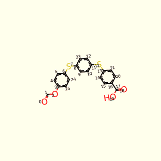 O=COc1ccc(Sc2ccc(Sc3ccc(C(=O)O)cc3)cc2)cc1